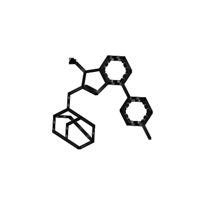 Cc1ccc(-c2cccc3c2C=C(CC2C4CC5CC(C4)CC2C5)[CH]3[Zr])cc1